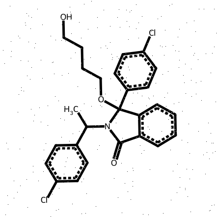 CC(c1ccc(Cl)cc1)N1C(=O)c2ccccc2C1(OCCCCO)c1ccc(Cl)cc1